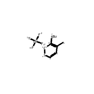 Cc1ccs[cH+]c1C(C)(C)C.F[B-](F)(F)F